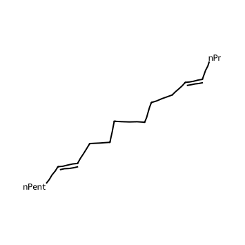 [CH2]CCCCC=CCCCCCCC=CCCC